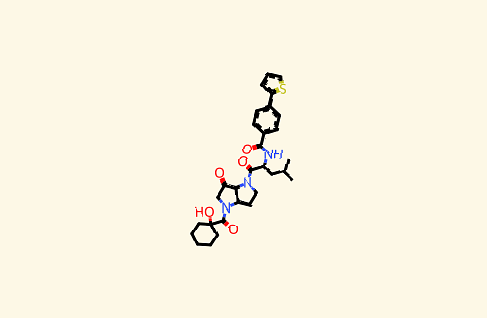 CC(C)CC(NC(=O)c1ccc(-c2cccs2)cc1)C(=O)N1CCC2C1C(=O)CN2C(=O)C1(O)CCCCC1